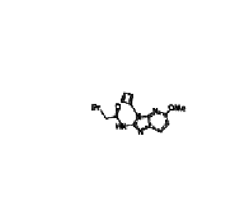 COc1ccc2nc(NC(=O)CC(C)C)n(C3=CC=C3)c2n1